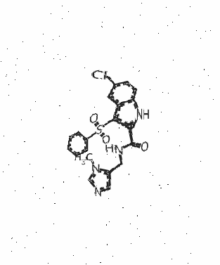 Cn1cncc1CNC(=O)c1[nH]c2ccc(Cl)cc2c1S(=O)(=O)c1ccccc1